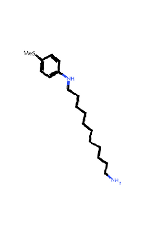 CSc1ccc(NCCCCCCCCCCCN)cc1